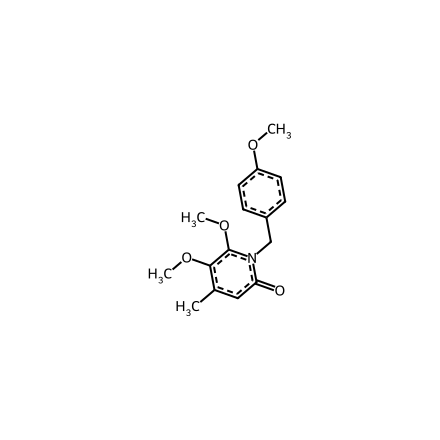 COc1ccc(Cn2c(OC)c(OC)c(C)cc2=O)cc1